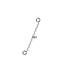 c1ccc(CCCCCCCCNCCCCCCCCc2ccccc2)cc1